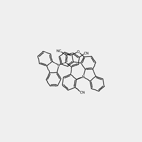 N#Cc1cc(C#N)c(-n2c3ccccc3c3ccccc32)c(-c2cccc(C#N)c2-n2c3ccccc3c3ccc4oc5ccccc5c4c32)c1